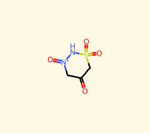 O=C1C[N+](=O)NS(=O)(=O)C1